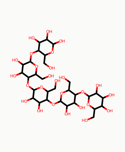 OCC1OC(OC2C(CO)OC(OC3C(CO)OC(OC4C(CO)OC(OC5C(CO)OC(O)C(O)C5O)C(O)C4O)C(O)C3O)C(O)C2O)C(O)C(O)C1O